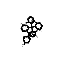 Cc1ccccc1C(c1ccccc1C)(c1ccccc1C)c1ccccc1[C@@H](OP)c1ccc(Cl)cc1